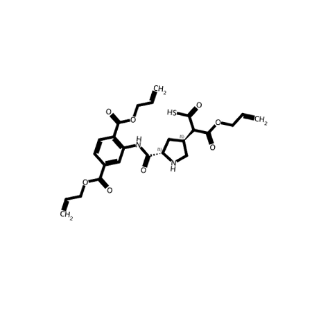 C=CCOC(=O)c1ccc(C(=O)OCC=C)c(NC(=O)[C@@H]2C[C@@H](C(C(=O)S)C(=O)OCC=C)CN2)c1